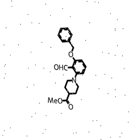 COC(=O)C1CCN(c2cccc(OCc3ccccc3)c2C=O)CC1